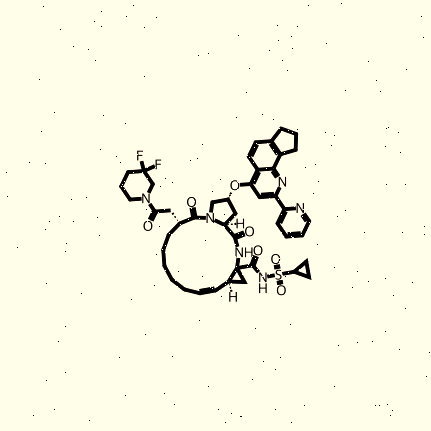 O=C1NC2(C(=O)NS(=O)(=O)C3CC3)C[C@H]2C=CCCCCC[C@H](CC(=O)N2CCCC(F)(F)C2)C(=O)N2C[C@H](Oc3cc(-c4ccccn4)nc4c5c(ccc34)CCC5)C[C@@H]12